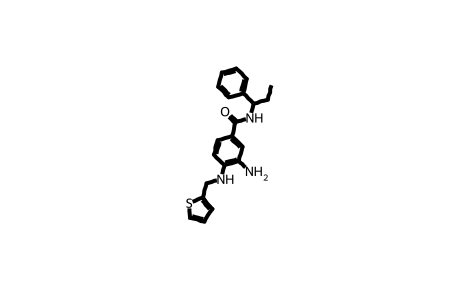 CCC(NC(=O)c1ccc(NCc2cccs2)c(N)c1)c1ccccc1